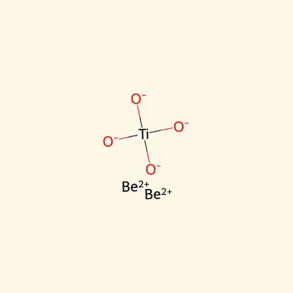 [Be+2].[Be+2].[O-][Ti]([O-])([O-])[O-]